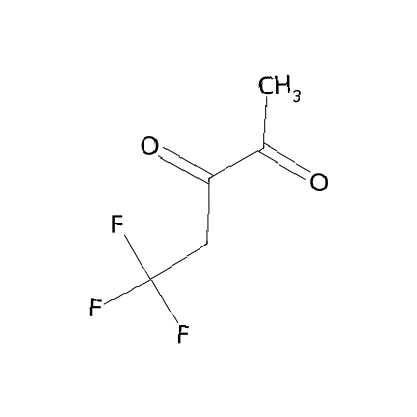 CC(=O)C(=O)CC(F)(F)F